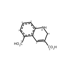 O=C(O)C1=Cc2c(cccc2C(=O)O)NC1